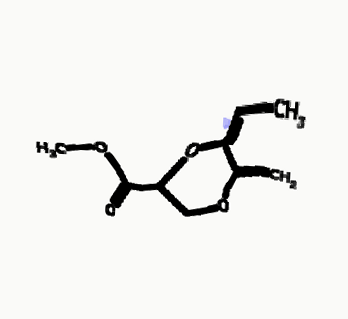 C=C1OCC(C(=O)OC)O/C1=C/C